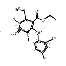 CCOC(=O)c1c(Nc2ccc(C)cc2F)c(C)c(=O)n(C)c1CBr